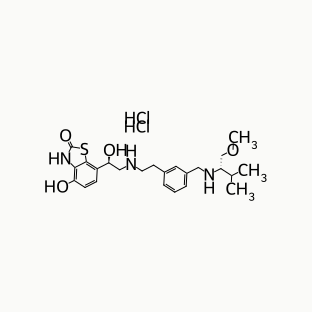 COC[C@@H](NCc1cccc(CCNC[C@H](O)c2ccc(O)c3[nH]c(=O)sc23)c1)C(C)C.Cl.Cl